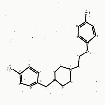 Oc1ccc(OCCN2CCC(Cc3ccc(C(F)(F)F)cc3)CC2)cc1